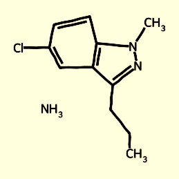 CCCc1nn(C)c2ccc(Cl)cc12.N